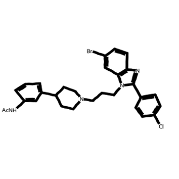 CC(=O)Nc1cccc(C2CCN(CCCn3c(-c4ccc(Cl)cc4)nc4ccc(Br)cc43)CC2)c1